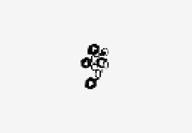 O=C(Cl)[C@@H]1CO[C@H](COCc2ccccc2)[C@H](Oc2ccccc2)[C@@H]1Oc1ccccc1